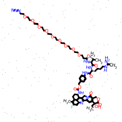 C=C(N)NCCCC[C@H](NC(=O)[C@@H](NC(=O)CCOCCOCCOCCOCCOCCOCCOCCOCCOCCN=[N+]=[N-])C(C)C)C(=O)Nc1ccc(COC(=O)N[C@H]2CCc3c(C)c(F)cc4nc5c(c2c34)Cn2c-5cc3c(c2=O)COC(=O)[C@]3(O)CC)cc1